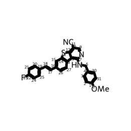 COc1ccc(CNc2ncc(C#N)c3sc4cc(C=Cc5ccc(F)cc5)ccc4c23)cc1